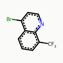 FC(F)(F)c1cccc2c(Br)ccnc12